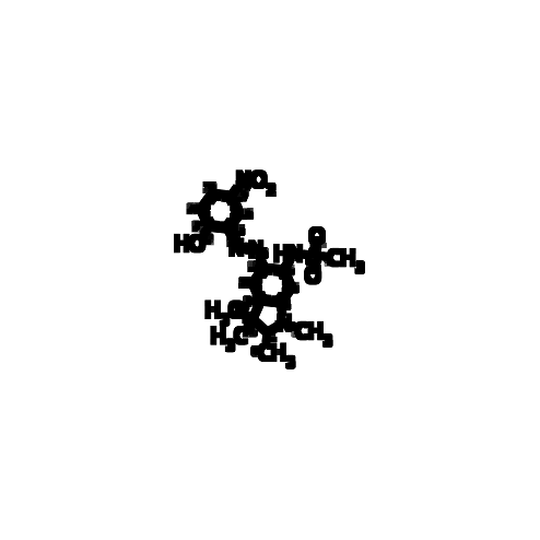 CC1N(C)c2cc(NS(C)(=O)=O)c(N=Nc3cc([N+](=O)[O-])ccc3O)cc2C1(C)C